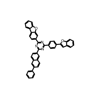 c1ccc(-c2ccc3cc(-c4nc(-c5ccc(-c6cc7ccccc7o6)cc5)nc(-c5ccc6c(c5)oc5ccccc56)n4)ccc3c2)cc1